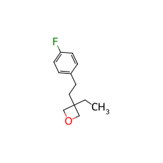 CCC1(CCc2ccc(F)cc2)COC1